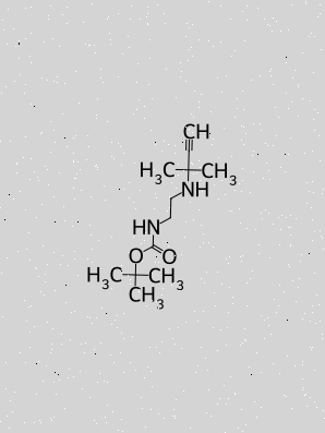 C#CC(C)(C)NCCNC(=O)OC(C)(C)C